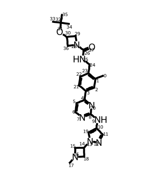 Cc1cc(-c2ccnc(Nc3cnn(C4CN(C)C4)c3)n2)ccc1CNC(=O)N1CC(OC(C)(C)C)C1